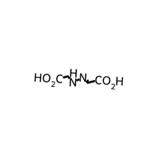 O=C(O)C=NNCC(=O)O